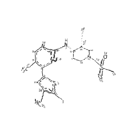 Cc1sc(-c2nc(N[C@H]3CCN(S(C)(=O)=O)C[C@H]3C)ncc2C(F)(F)F)cc1C#N